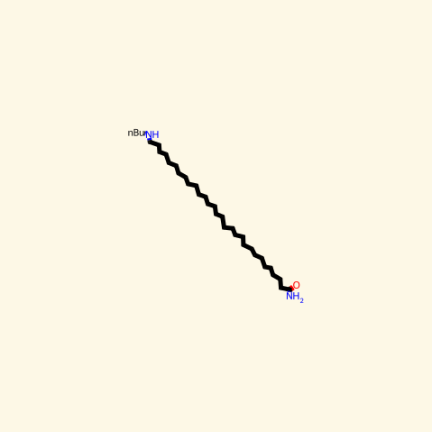 CCCCNCCCCCCCCCCCCCCCCCCCCCCCCCCCCCC(N)=O